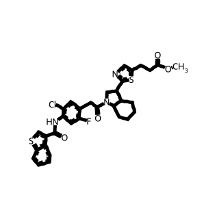 COC(=O)CCc1cnc(C2CN(C(=O)Cc3cc(Cl)c(NC(=O)c4csc5ccccc45)cc3F)C3CCCCC23)s1